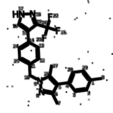 Cc1ccc(-c2c(C)nn(Cc3ccc(-c4c[nH]nc4C(F)(F)F)cc3)c2C)cc1